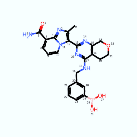 Cc1nc2c(C(N)=O)cccn2c1-c1nc2c(c(NCc3cccc(B(O)O)c3)n1)CCOC2